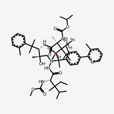 [2H]C([2H])([2H])C(C([2H])([2H])C)(C(C)(C)C)[C@](C)(NC(=O)OC(C)C)C(=O)N[C@@H](C(C)(C)c1ccccc1C)[C@@](C)(O)CN(NC(=O)[C@@H](NC(=O)OC)C(C)(CC)C(C)C)C(C)(C)c1ccc(-c2ncccc2C)cc1C